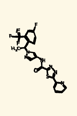 CC(c1ccc(F)cc1C(F)(F)F)n1cc(NC(=O)c2nnc(-c3ccccn3)s2)cn1